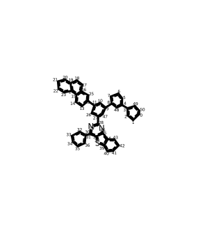 c1ccc(-c2cccc(-c3cc(-c4ccc5c(ccc6ccccc65)c4)cc(-c4nc(-c5ccccc5)c5sc6ccccc6c5n4)c3)c2)cc1